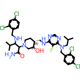 CC(C)CN(Cc1ccc(Cl)cc1Cl)c1ncnc(NC[C@H]2CCN(C(C(N)=O)C(NCc3ccc(Cl)cc3Cl)C(C)C)C[C@@H]2O)c1F